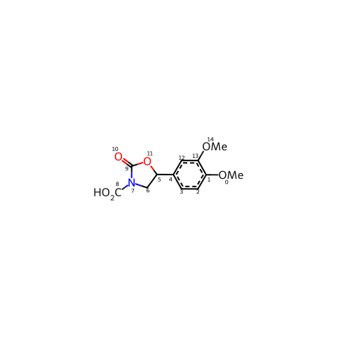 COc1ccc(C2CN(C(=O)O)C(=O)O2)cc1OC